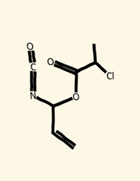 C=CC(N=C=O)OC(=O)C(C)Cl